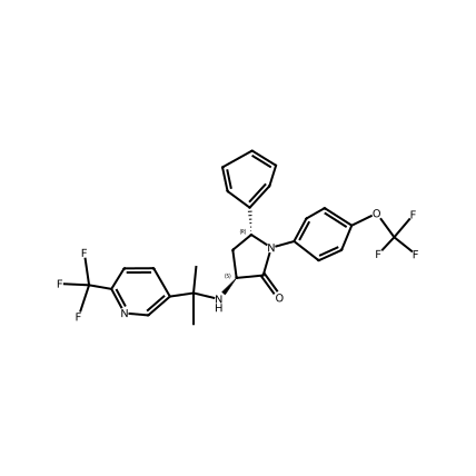 CC(C)(N[C@H]1C[C@H](c2ccccc2)N(c2ccc(OC(F)(F)F)cc2)C1=O)c1ccc(C(F)(F)F)nc1